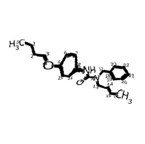 CCCCOc1ccc(NC(=O)N(CCCC)Cc2ccccc2)cc1